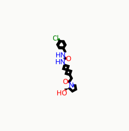 O=C(NCc1ccc(Cl)cc1)NC1CC2(CC(CC(=O)N3CCC[C@H]3CO)C2)C1